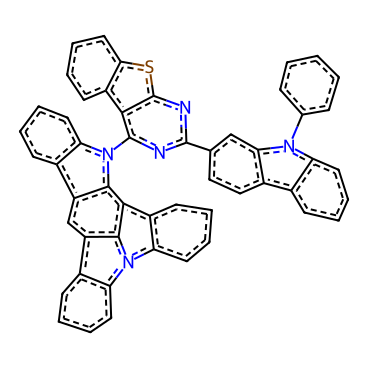 c1ccc(-n2c3ccccc3c3ccc(-c4nc(-n5c6ccccc6c6cc7c8ccccc8n8c9ccccc9c(c65)c78)c5c(n4)sc4ccccc45)cc32)cc1